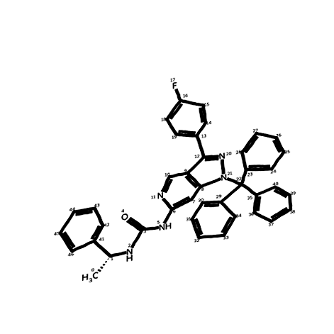 C[C@@H](NC(=O)Nc1cc2c(cn1)c(-c1ccc(F)cc1)nn2C(c1ccccc1)(c1ccccc1)c1ccccc1)c1ccccc1